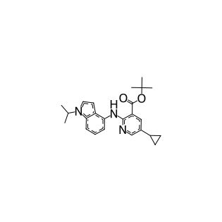 CC(C)n1ccc2c(Nc3ncc(C4CC4)cc3C(=O)OC(C)(C)C)cccc21